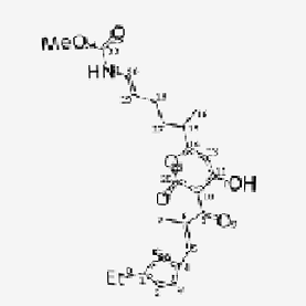 CCc1ccc(/C=C(\C)C(=O)c2c(O)cc(C(C)CC/C=C/NC(=O)OC)oc2=O)s1